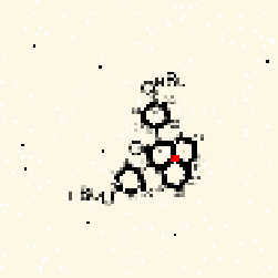 CCCCO[C@H]1CC[C@H](C(C(=O)C(C2CCCCC2)[C@H]2CC[C@H](OCCCC)CC2)C2CCCCC2)CC1